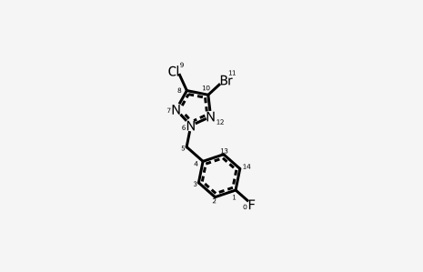 Fc1ccc(Cn2nc(Cl)c(Br)n2)cc1